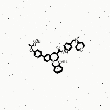 CCCCOC(C)Oc1ccc(-c2ccc3c(c2)C=C(C(=O)Nc2ccc(CN(C)C4CCOCC4)cc2)CCN3Cc2ccccc2OCC)cc1